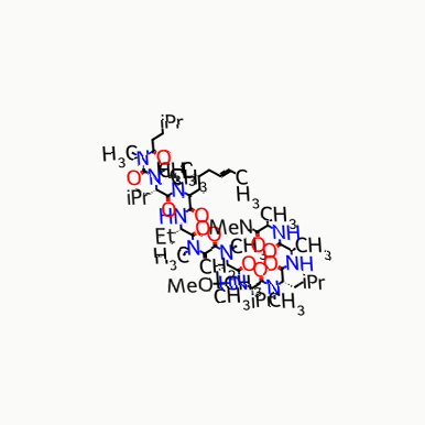 C=C(C(=O)N(C)[C@@H](CC(C)(C)OC)C(=O)N[C@H](C(=O)N(C)[C@@H](CC(C)C)C(=O)N[C@H](C)C(=O)N[C@H](C)C(=O)NC)C(C)C)N(C)C(=O)[C@H](CC)NC(=O)C(C[C@H](C)C/C=C/C)N(C)C(=O)[C@H](C(C)C)N(C)C(=O)N(C)C(=O)CCC(C)C